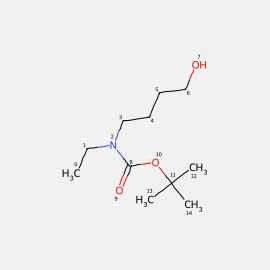 CCN(CCCCO)C(=O)OC(C)(C)C